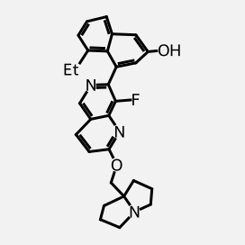 CCc1cccc2cc(O)cc(-c3ncc4ccc(OCC56CCCN5CCC6)nc4c3F)c12